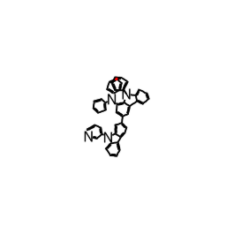 c1ccc(N(c2ccccc2)c2cc(-c3ccc4c5ccccc5n(-c5cccnc5)c4c3)cc3c4ccccc4n(-c4ccccc4)c23)cc1